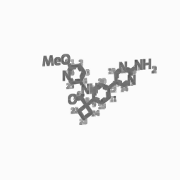 COc1ccc(NC(=O)C2(c3ccc(-c4cnc(N)nc4)cc3)CCC2)cn1